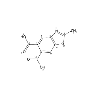 Cc1nc2cc(C(=O)O)c(C(=O)O)cc2s1